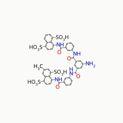 Cc1cc(S(=O)(=O)O)c2c(NC(=O)c3cccc(NC(=O)c4cc(N)cc(C(=O)Nc5cccc(C(=O)Nc6ccc(S(=O)(=O)O)c7cccc(S(=O)(=O)O)c67)c5)c4)c3)ccc(S(=O)(=O)O)c2c1